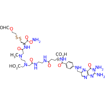 CN(CCN(CC(=O)O)CC(=O)NCCNC(=O)CC[C@@H](NC(=O)c1ccc(NCc2cnc3nc(N)n(N)c(=O)c3n2)cc1)C(=O)O)CC(=O)N[C@@H](CSSCCOC=O)C(=O)ON